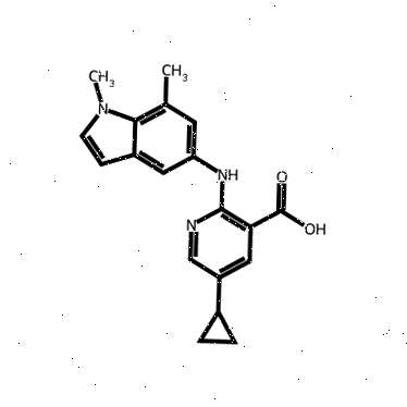 Cc1cc(Nc2ncc(C3CC3)cc2C(=O)O)cc2ccn(C)c12